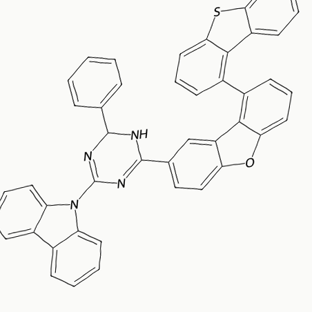 c1ccc(C2N=C(n3c4ccccc4c4ccccc43)N=C(c3ccc4oc5cccc(-c6cccc7sc8ccccc8c67)c5c4c3)N2)cc1